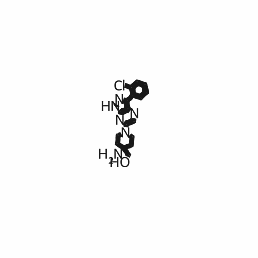 NC1(CO)CCN(c2cnc3c(-c4ccccc4Cl)n[nH]c3n2)CC1